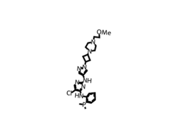 COCCN1CCN(C2CC(n3cc(Nc4ncc(Cl)c(Nc5ccccc5P(C)C)n4)cn3)C2)CC1